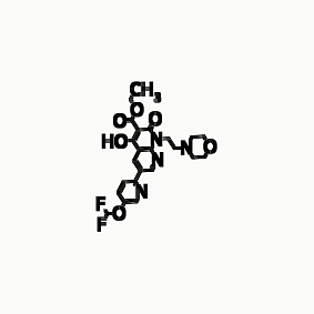 CCOC(=O)c1c(O)c2cc(-c3ccc(OC(F)F)cn3)cnc2n(CCN2CCOCC2)c1=O